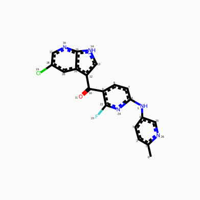 Cc1ccc(Nc2ccc(C(=O)c3c[nH]c4ncc(Cl)cc34)c(F)n2)cn1